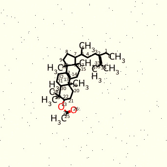 CCC(CCC(C)C1CCC2(C)C3=C(CCC12C)C1(C)CCC(OC(C)=O)C(C)(C)C1CC3)=C(C)C